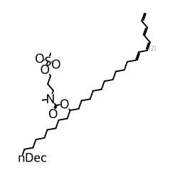 C=CC=C/C=C\C=CCCCCCCCCCCC(CCCCCCCCCCCCCCCCCC)OC(=O)N(C)CCCOS(C)(=O)=O